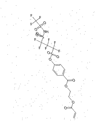 C=CC(=O)OCCOC(=O)c1ccc(OS(=O)(=O)C(F)(F)C(F)(F)C(F)(F)S(=O)(=O)NS(=O)(=O)C(F)(F)F)cc1